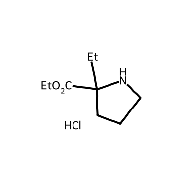 CCOC(=O)C1(CC)CCCN1.Cl